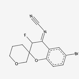 N#CN=C1c2cc(Br)ccc2OC2(CCCOC2)C1F